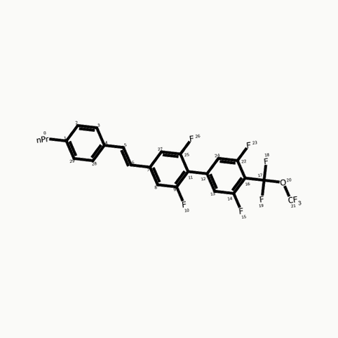 CCCc1ccc(/C=C/c2cc(F)c(-c3cc(F)c(C(F)(F)OC(F)(F)F)c(F)c3)c(F)c2)cc1